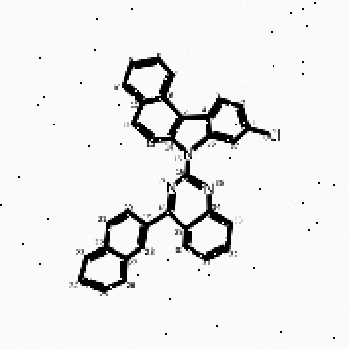 Clc1ccc2c3c4ccccc4ccc3n(-c3nc(-c4ccc5ccccc5c4)c4ccccc4n3)c2c1